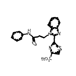 CCOC(=O)c1csc(-c2nc3ccccc3n2CCC(=O)Nc2ccccc2)n1